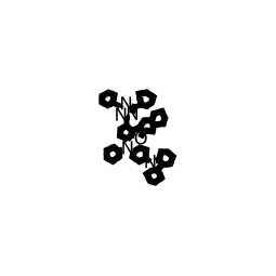 c1ccc(-c2nc(-c3ccccc3)nc(-c3ccc(N(c4ccccc4)c4ccc(-n5c6ccccc6c6ccccc65)cc4)c4oc5cc6ccccc6cc5c34)n2)cc1